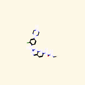 CC(C)CNC(=O)Nc1ccc2cnc(Nc3ccc(N4CCNCC4)cc3Cl)nc2n1